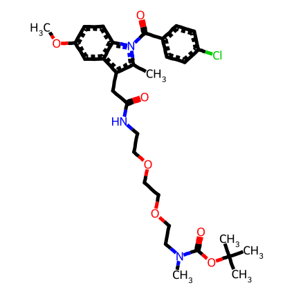 COc1ccc2c(c1)c(CC(=O)NCCOCCOCCN(C)C(=O)OC(C)(C)C)c(C)n2C(=O)c1ccc(Cl)cc1